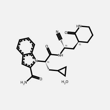 N#C[C@H](C[C@@H]1CCCNC1=O)NC(=O)[C@H](CC1CC1)n1c(C(N)=O)cc2ccccc21.O